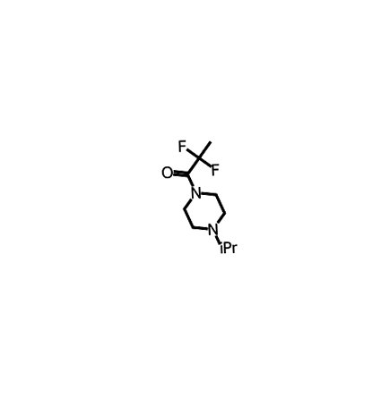 CC(C)N1CCN(C(=O)C(C)(F)F)CC1